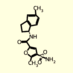 Cc1ccc2c(c1)CC[C@H]2NC(=O)c1cc(S(N)(=O)=O)c(C)o1